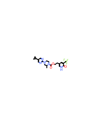 CC1CN(c2ncc(C3CC3)cn2)CCN1C(=O)OCCc1c[nH]c(=O)c(C(F)(F)F)c1